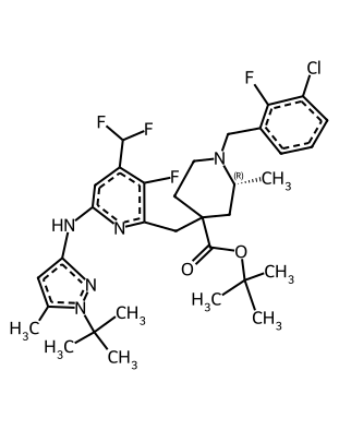 Cc1cc(Nc2cc(C(F)F)c(F)c(CC3(C(=O)OC(C)(C)C)CCN(Cc4cccc(Cl)c4F)[C@H](C)C3)n2)nn1C(C)(C)C